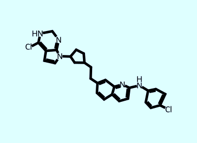 ClC1=c2ccn(C3CCC(CCc4ccc5ccc(Nc6ccc(Cl)cc6)nc5c4)C3)c2=NCN1